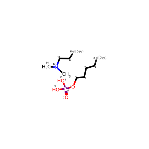 CCCCCCCCCCCCCCOP(=O)(O)O.CCCCCCCCCCCCN(C)C